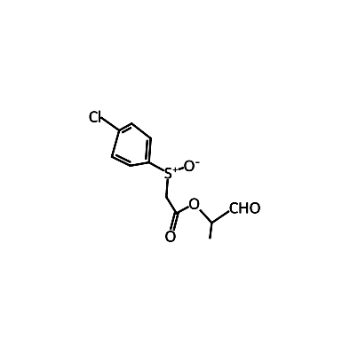 CC(C=O)OC(=O)C[S+]([O-])c1ccc(Cl)cc1